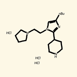 CCCCc1cn(CCN2CCCC2)c(C2CCNCC2)n1.Cl.Cl.Cl